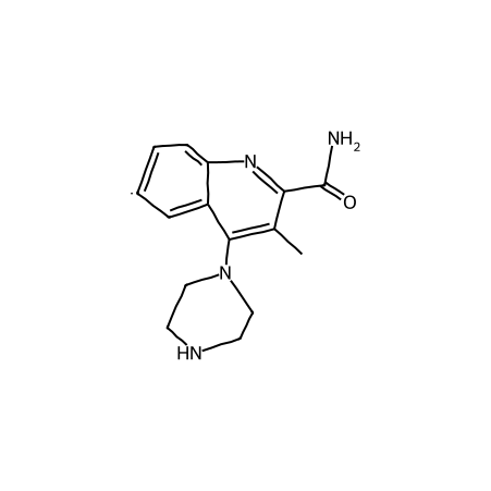 Cc1c(C(N)=O)nc2cc[c]cc2c1N1CCNCC1